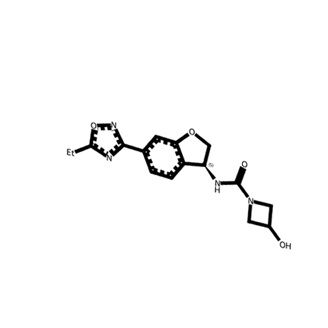 CCc1nc(-c2ccc3c(c2)OC[C@H]3NC(=O)N2CC(O)C2)no1